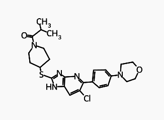 CC(C)C(=O)N1CCC(Sc2nc3nc(-c4ccc(N5CCOCC5)cc4)c(Cl)cc3[nH]2)CC1